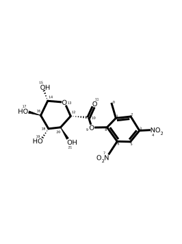 Cc1cc([N+](=O)[O-])cc([N+](=O)[O-])c1OC(=O)[C@H]1O[C@@H](O)[C@H](O)[C@@H](O)[C@@H]1O